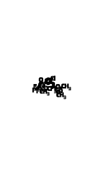 CON=C(OC(C)=O)C(Cl)=Cc1cc(-n2c(=O)cc(C(F)(F)F)n(C)c2=O)ccc1Cl